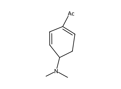 CC(=O)C1=CCC(N(C)C)C=C1